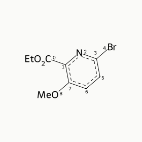 CCOC(=O)c1nc(Br)ccc1OC